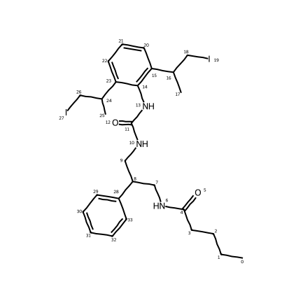 CCCCC(=O)NCC(CNC(=O)Nc1c(C(C)CI)cccc1C(C)CI)c1ccccc1